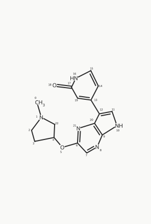 CN1CCC(Oc2cnc3[nH]cc(-c4cc[nH]c(=O)c4)c3n2)C1